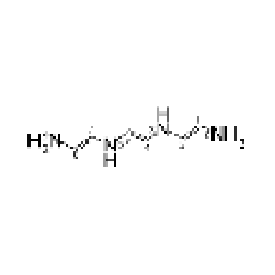 NC=CNC=CNC=CN